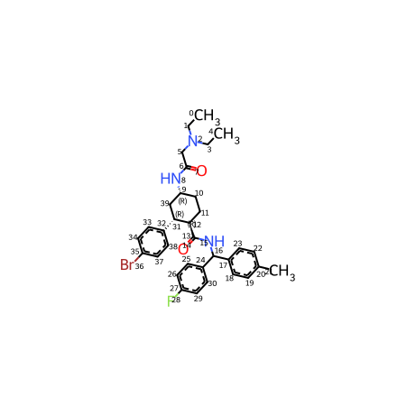 CCN(CC)CC(=O)N[C@@H]1CC[C@@H](C(=O)NC(c2ccc(C)cc2)c2ccc(F)cc2)[C@H](c2ccc(Br)cc2)C1